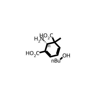 CC1(C(=O)O)C=CC=C(C(=O)O)[C@@H]1N.CCCCO